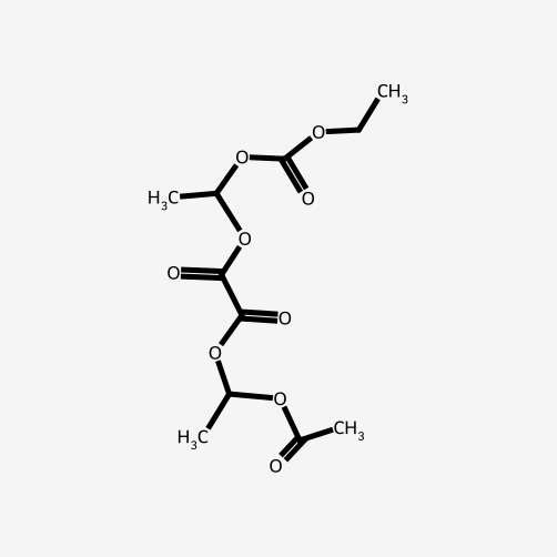 CCOC(=O)OC(C)OC(=O)C(=O)OC(C)OC(C)=O